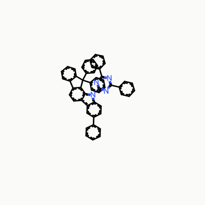 c1ccc(-c2ccc3c(c2)c2ccc4c(c2n3-c2nc(-c3ccccc3)nc(-c3ccccc3)n2)C(c2ccccc2)(c2ccccc2)c2ccccc2-4)cc1